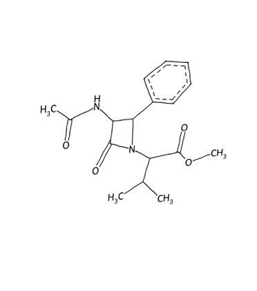 COC(=O)C(C(C)C)N1C(=O)C(NC(C)=O)C1c1ccccc1